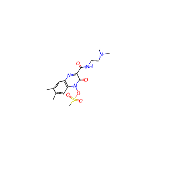 Cc1cc2nc(C(=O)NCCN(C)C)c(=O)n(OS(C)(=O)=O)c2cc1C